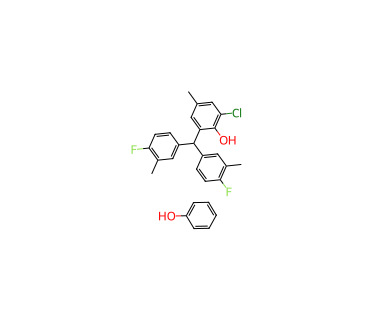 Cc1cc(Cl)c(O)c(C(c2ccc(F)c(C)c2)c2ccc(F)c(C)c2)c1.Oc1ccccc1